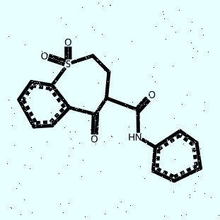 O=C(Nc1ccccc1)C1CCS(=O)(=O)c2ccccc2C1=O